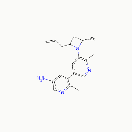 C=CCC1CC(CC)N1c1cc(-c2cc(N)cnc2C)cnc1C